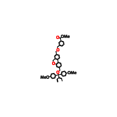 C=C/C(=C\C)C(OCc1ccc2c(c1)OCc1cc(COCc3cccc(C(=O)OC)c3)ccc1-2)(c1ccc(OC)cc1)c1ccc(OC)cc1